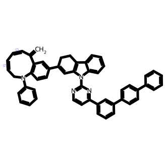 C=C1/C=C\C=C/CN(c2ccccc2)c2ccc(C3=Cc4c(c5ccccc5n4-c4nccc(-c5cccc(-c6ccc(-c7ccccc7)cc6)c5)n4)CC3)cc21